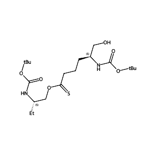 CC[C@@H](COC(=S)CCC[C@@H](CO)NC(=O)OC(C)(C)C)NC(=O)OC(C)(C)C